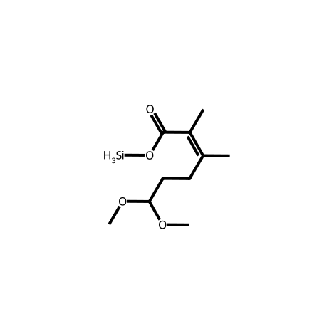 COC(CCC(C)=C(C)C(=O)O[SiH3])OC